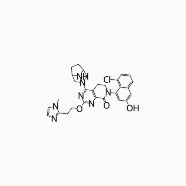 Cn1ccnc1CCOc1nc2c(c(N3CC4CCC(C3)N4)n1)CCN(c1cc(O)cc3cccc(Cl)c13)C2=O